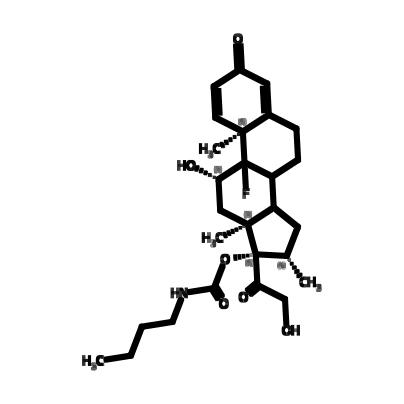 CCCCNC(=O)O[C@@]1(C(=O)CO)[C@@H](C)CC2C3CCC4=CC(=O)C=C[C@]4(C)C3(F)[C@@H](O)C[C@@]21C